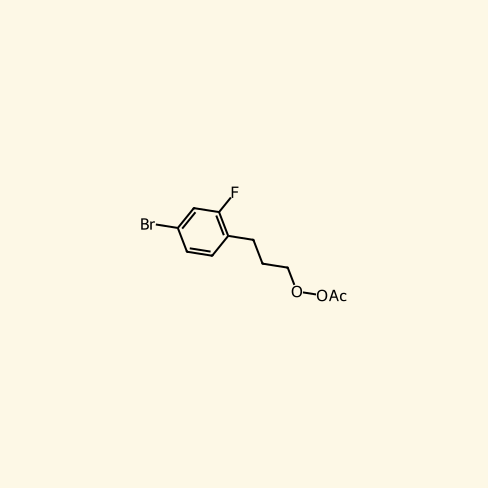 CC(=O)OOCCCc1ccc(Br)cc1F